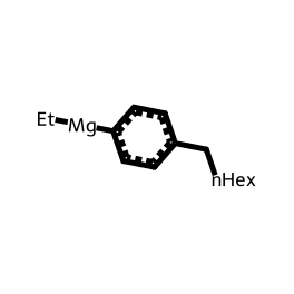 CCCCCCCc1cc[c]([Mg][CH2]C)cc1